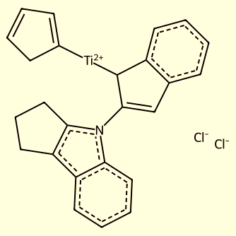 C1=CC[C]([Ti+2][CH]2C(n3c4c(c5ccccc53)CCC4)=Cc3ccccc32)=C1.[Cl-].[Cl-]